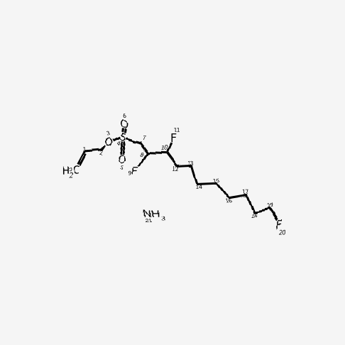 C=CCOS(=O)(=O)CC(F)C(F)CCCCCCCCF.N